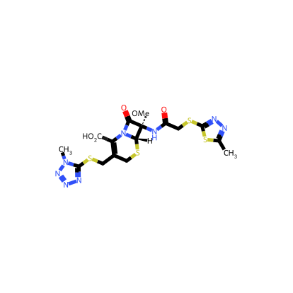 CO[C@@]1(NC(=O)CSc2nnc(C)s2)C(=O)N2C(C(=O)O)=C(CSc3nnnn3C)CS[C@H]21